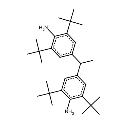 CC(c1cc(C(C)(C)C)c(N)c(C(C)(C)C)c1)c1cc(C(C)(C)C)c(N)c(C(C)(C)C)c1